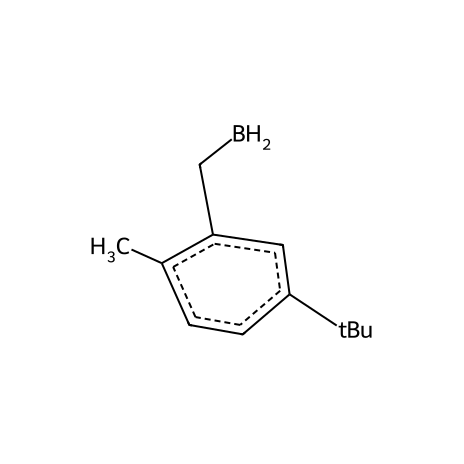 BCc1cc(C(C)(C)C)ccc1C